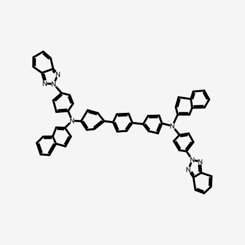 c1ccc2cc(N(c3ccc(-c4ccc(-c5ccc(N(c6ccc(-n7nc8ccccc8n7)cc6)c6ccc7ccccc7c6)cc5)cc4)cc3)c3ccc(-n4nc5ccccc5n4)cc3)ccc2c1